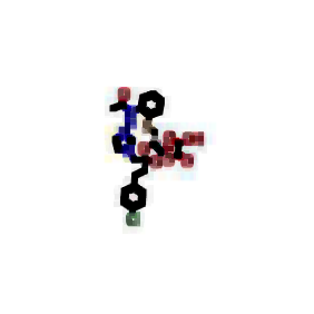 CC(=O)Nc1ccccc1SC[C@@H]1CO[C@](CCc2ccc(Cl)cc2)(Cn2ccnc2)O1.O=C(O)C(=O)O